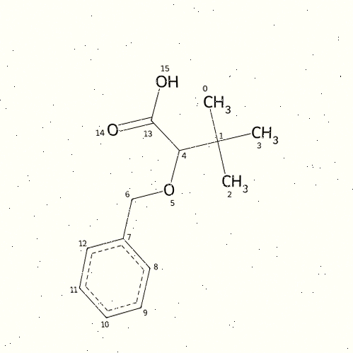 CC(C)(C)C(OCc1ccccc1)C(=O)O